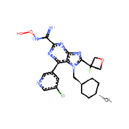 C[C@H]1CC[C@H](Cn2c(C3(F)COC3)nc3nc(C(=N)NOO)nc(-c4cncc(Cl)c4)c32)CC1